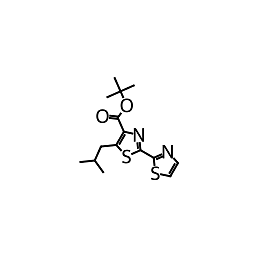 CC(C)Cc1sc(-c2nccs2)nc1C(=O)OC(C)(C)C